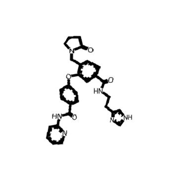 O=C(NCCc1c[nH]cn1)c1ccc(CN2CCCC2=O)c(Oc2ccc(C(=O)Nc3ccccn3)cc2)c1